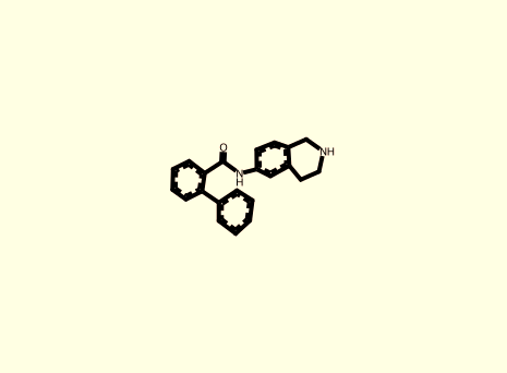 O=C(Nc1ccc2c(c1)CCNC2)c1ccccc1-c1ccccc1